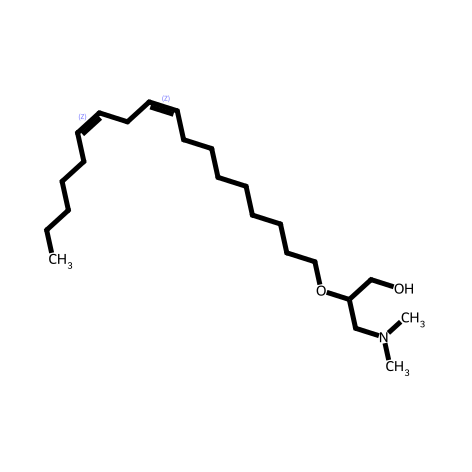 CCCCC/C=C\C/C=C\CCCCCCCCOC(CO)CN(C)C